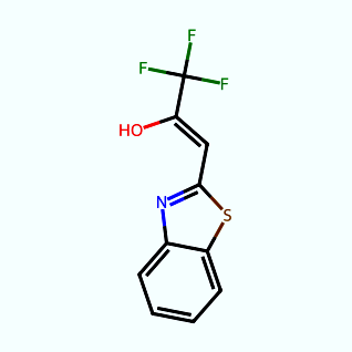 O/C(=C\c1nc2ccccc2s1)C(F)(F)F